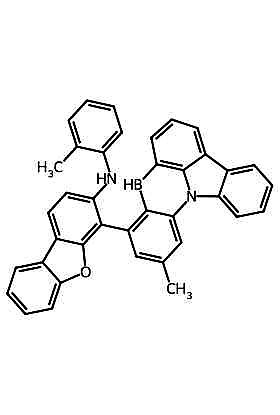 Cc1cc(-c2c(Nc3ccccc3C)ccc3c2oc2ccccc23)c2c(c1)-n1c3ccccc3c3cccc(c31)B2